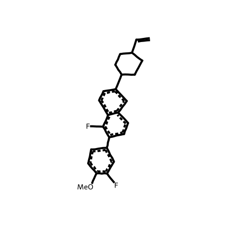 C=CC1CCC(c2ccc3c(F)c(-c4ccc(OC)c(F)c4)ccc3c2)CC1